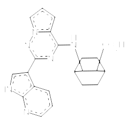 O=C(O)C1C2CCC(CC2)C1Nc1nc(-c2c[nH]c3ncccc23)nn2cccc12